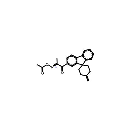 C=C1CCC2(CC1)c1ccccc1-c1ccc(C(=O)/C(C)=N/OC(C)=O)cc12